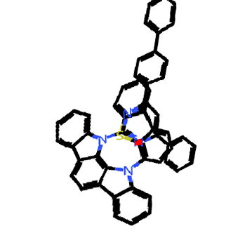 c1ccc(-c2ccc(-c3cc(-c4ccccc4)nc(-n4c5ccccc5c5ccc6c7ccccc7n(-c7cccc8c7sc7ccccc78)c6c54)n3)cc2)cc1